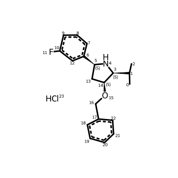 CC(C)[C@@H]1N[C@H](c2cccc(F)c2)C[C@@H]1OCc1ccccc1.Cl